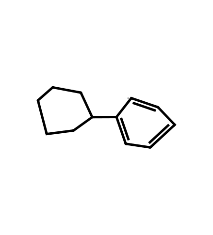 [c]1ccccc1C1CCCCC1